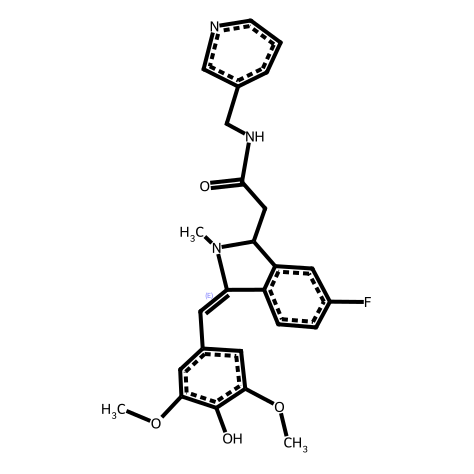 COc1cc(/C=C2\c3ccc(F)cc3C(CC(=O)NCc3cccnc3)N2C)cc(OC)c1O